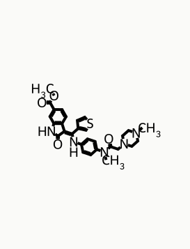 COC(=O)c1ccc2c(c1)NC(=O)/C2=C(\Nc1ccc(N(C)C(=O)CN2CCN(C)CC2)cc1)c1ccsc1